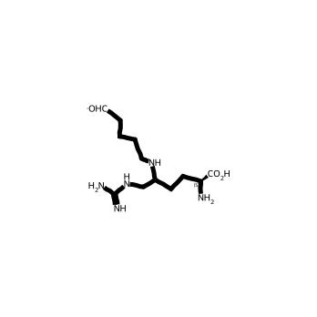 N=C(N)NCC(CC[C@H](N)C(=O)O)NCCCC[C]=O